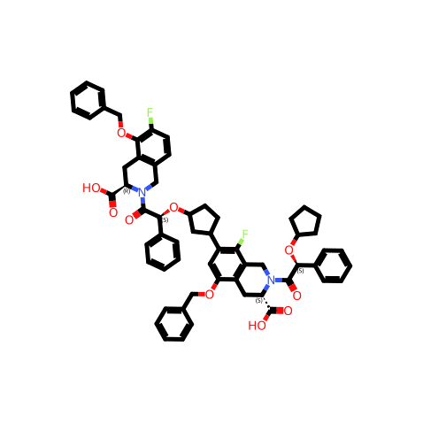 O=C(O)[C@H]1Cc2c(ccc(F)c2OCc2ccccc2)CN1C(=O)[C@@H](OC1CCC(c2cc(OCc3ccccc3)c3c(c2F)CN(C(=O)[C@@H](OC2CCCC2)c2ccccc2)[C@H](C(=O)O)C3)C1)c1ccccc1